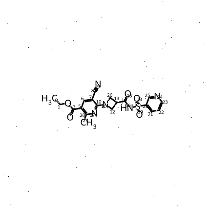 CCOC(=O)c1cc(C#N)c(N2CC(C(=O)NS(=O)(=O)c3cccnc3)C2)nc1C